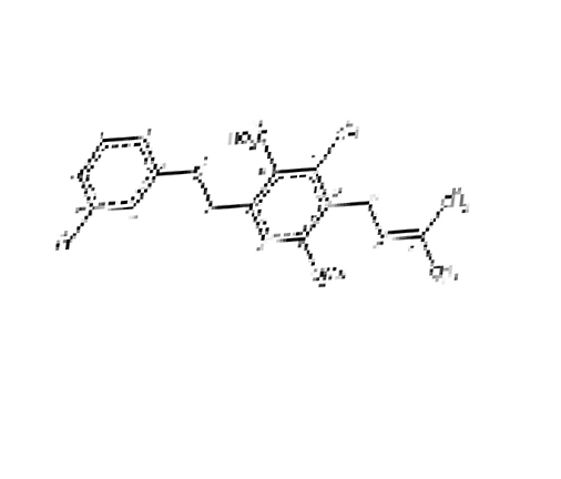 COc1cc(CSc2cccc(Cl)c2)c(C(=O)O)c(O)c1CC=C(C)C